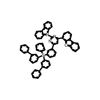 c1ccc(-c2cccc([Si](c3ccccc3)(c3cccc(-c4ccccc4)c3)c3cccc(-c4cc(-c5cccc6c5oc5ccccc56)nc(-n5c6ccccc6c6ccccc65)n4)c3)c2)cc1